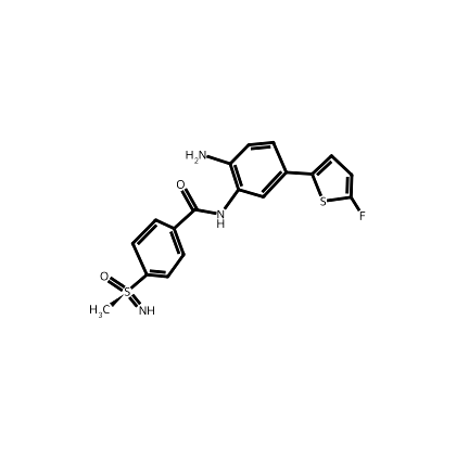 C[S@@](=N)(=O)c1ccc(C(=O)Nc2cc(-c3ccc(F)s3)ccc2N)cc1